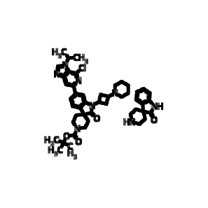 CC(C)n1cnc2cc(-c3ccc4c(c3)N(C3CC(N5CCCCC5)C3)C(=O)C43CCN(C(=O)OC(C)(C)C)CC3)nc(Cl)c21.O=C1Nc2ccccc2C12CCNCC2